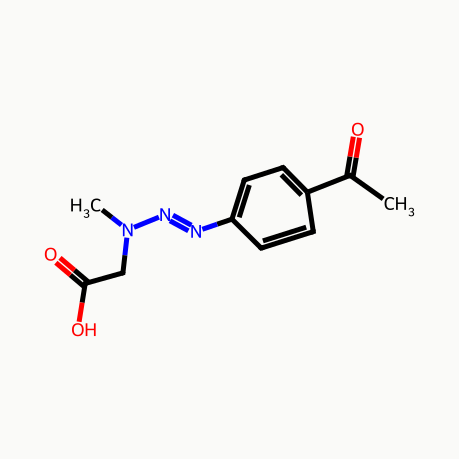 CC(=O)c1ccc(/N=N/N(C)CC(=O)O)cc1